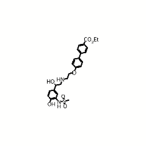 CCOC(=O)c1ccc(-c2ccc(OCCNC[C@H](O)c3ccc(O)c(NS(C)(=O)=O)c3)cc2)cc1